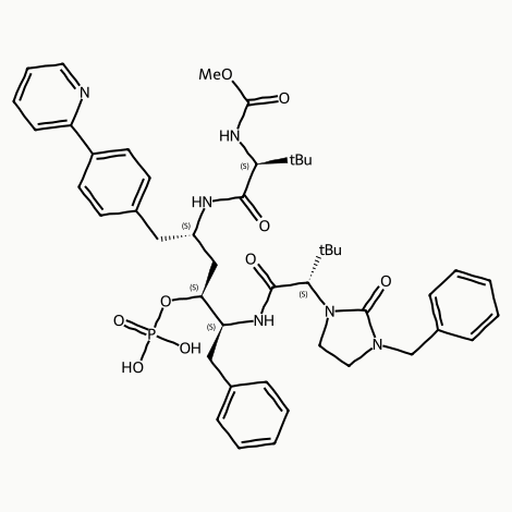 COC(=O)N[C@H](C(=O)N[C@@H](Cc1ccc(-c2ccccn2)cc1)C[C@H](OP(=O)(O)O)[C@H](Cc1ccccc1)NC(=O)[C@@H](N1CCN(Cc2ccccc2)C1=O)C(C)(C)C)C(C)(C)C